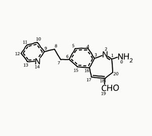 NC1=Nc2ccc(CCc3ccccn3)cc2C=C(C=O)C1